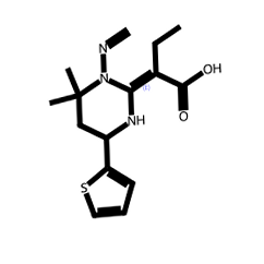 C=NN1/C(=C(\CC)C(=O)O)NC(c2cccs2)CC1(C)C